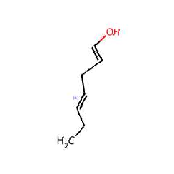 CC/C=C/CC=CO